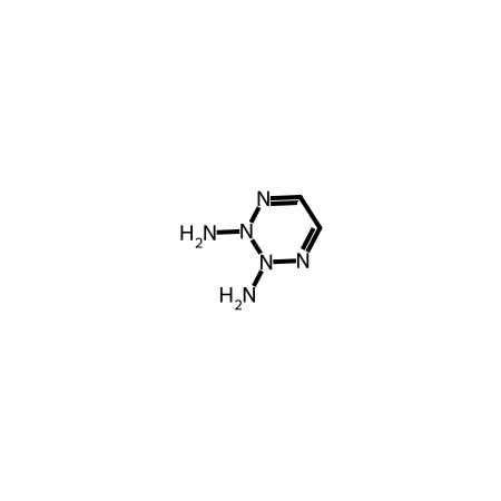 NN1N=CC=NN1N